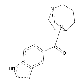 O=C(c1ccc2[nH]ccc2c1)N1CCN2CCCC1CC2